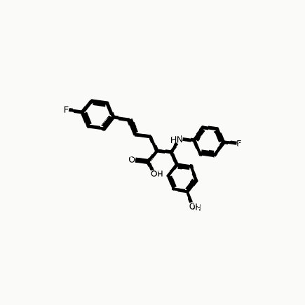 O=C(O)C(CC=Cc1ccc(F)cc1)C(Nc1ccc(F)cc1)c1ccc(O)cc1